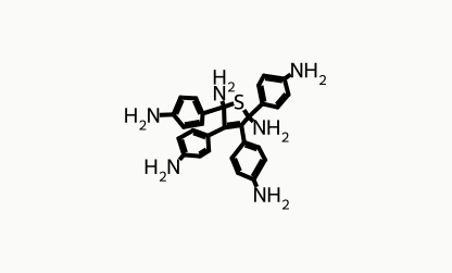 Nc1ccc(C2=C(c3ccc(N)cc3)C(N)(c3ccc(N)cc3)SC2(N)c2ccc(N)cc2)cc1